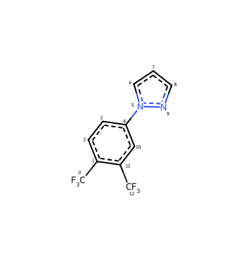 FC(F)(F)c1ccc(-n2cc[c]n2)cc1C(F)(F)F